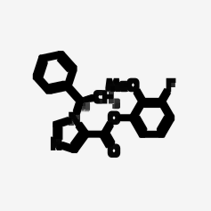 COc1c(F)cccc1OC(=O)c1cncn1[C@H](C)c1ccccc1